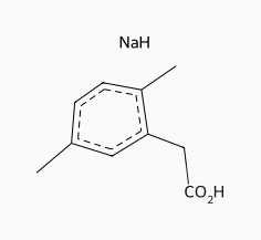 Cc1ccc(C)c(CC(=O)O)c1.[NaH]